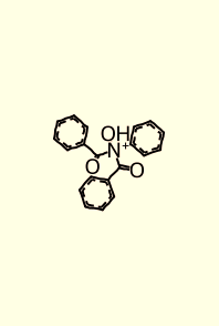 O=C(c1ccccc1)[N+](O)(C(=O)c1ccccc1)c1ccccc1